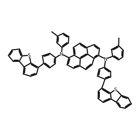 Cc1cccc(N(c2ccc(-c3cccc4c3sc3ccccc34)cc2)c2ccc3ccc4c(N(c5ccc(-c6cccc7c6sc6ccccc67)cc5)c5cccc(C)c5)ccc5ccc2c3c54)c1